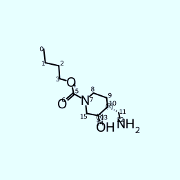 CCCCOC(=O)N1CC[C@H](CN)[C@@H](O)C1